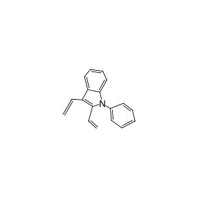 C=Cc1c(C=C)n(-c2ccccc2)c2ccccc12